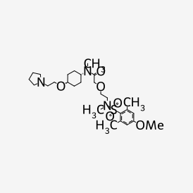 COc1cc(C)c(S(=O)(=O)N(C)CCOCC(=O)N(C)[C@H]2CC[C@H](OCCN3CCCC3)CC2)c(C)c1